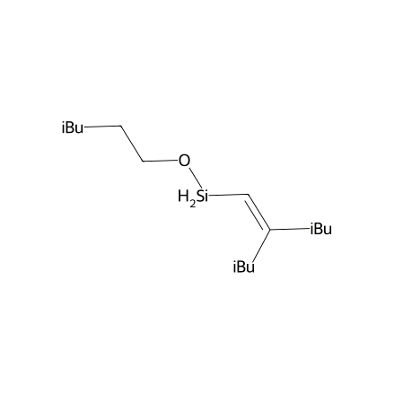 CCC(C)CCO[SiH2]C=C(C(C)CC)C(C)CC